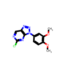 COc1ccc(-n2nnc3cnc(Cl)nc32)cc1OC